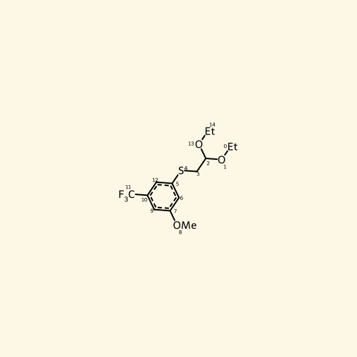 CCOC(CSc1cc(OC)cc(C(F)(F)F)c1)OCC